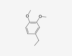 CCc1ccc(OC)c(OC)c1